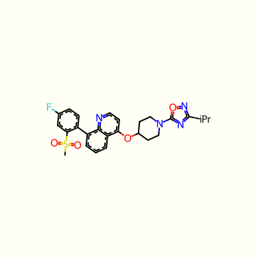 CC(C)c1noc(N2CCC(Oc3ccnc4c(-c5ccc(F)cc5S(C)(=O)=O)cccc34)CC2)n1